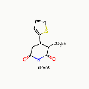 CCCCCN1C(=O)CC(c2cccs2)C(C(=O)OCC)C1=O